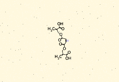 C=C(COC(=O)/C=C\C(=O)OCC(=C)C(=O)O)C(=O)O